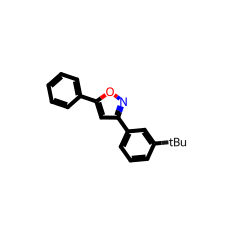 CC(C)(C)c1cccc(-c2cc(-c3ccccc3)on2)c1